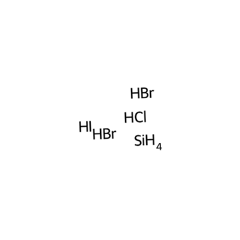 Br.Br.Cl.I.[SiH4]